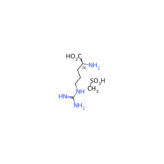 CS(=O)(=O)O.N=C(N)NCCC[C@H](N)C(=O)O